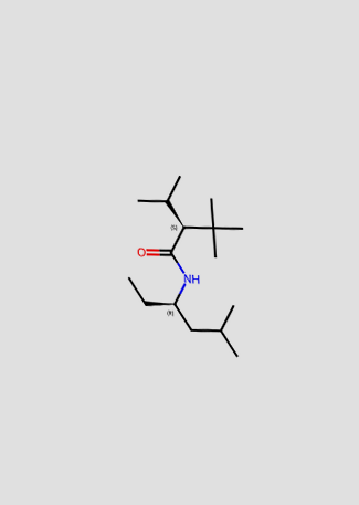 CC[C@H](CC(C)C)NC(=O)[C@@H](C(C)C)C(C)(C)C